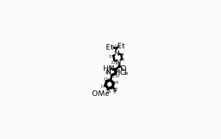 CCC(CC)N1CCN(C(=O)c2cc(-c3ccc(OC)c(F)c3)n[nH]2)CC1.Cl